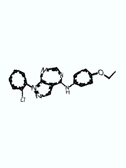 CCOc1ccc(Nc2ncnc3c2cnn3-c2ccccc2Cl)cc1